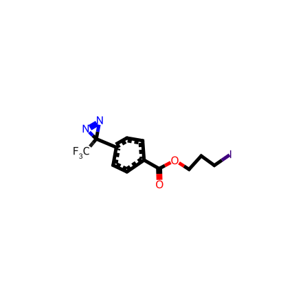 O=C(OCCCI)c1ccc(C2(C(F)(F)F)N=N2)cc1